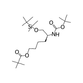 CC(C)(C)OC(=O)N[C@@H](CCCCOC(=O)C(C)(C)C)CO[Si](C)(C)C(C)(C)C